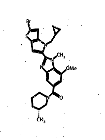 COc1cc(C(=O)N2CCC[C@@H](C)C2)cc2nc(-c3cc4sc(Br)cc4n3CC3CC3)n(C)c12